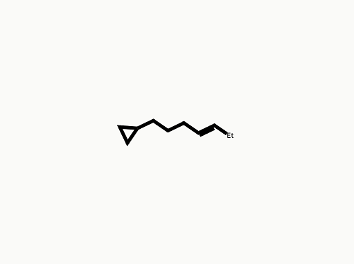 CCC=CCCCC1CC1